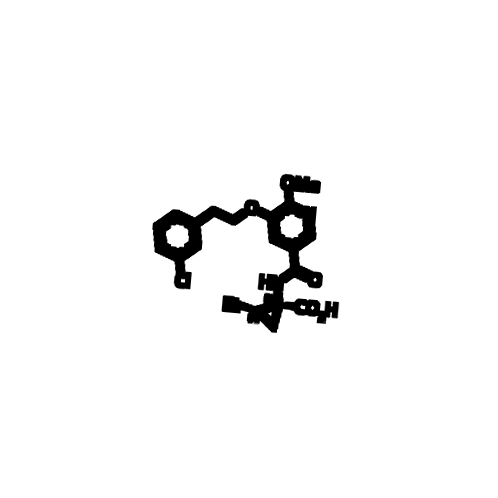 CC[C@@H]1C[C@]1(NC(=O)c1cnc(OC)c(OCCc2cccc(Cl)c2)c1)C(=O)O